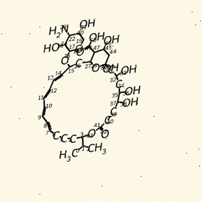 CC(C)C1CCC/C=C/C=C/C=C/C=C/C(O[C@@H]2OC[C@@H](O)[C@H](N)[C@@H]2O)CC2OC(O)(CC(O)CC(O)C(O)CCC(=O)O1)CC(O)C2C(=O)O